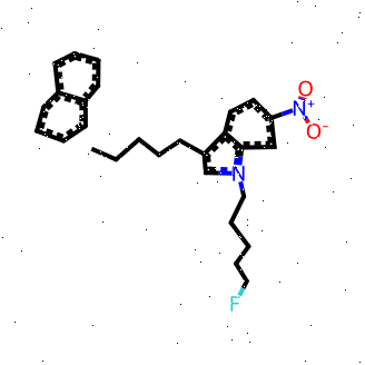 CCCCCc1cn(CCCCCF)c2cc([N+](=O)[O-])ccc12.c1ccc2ccccc2c1